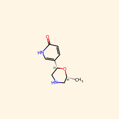 C[C@@H]1CNC[C@H](c2ccc(=O)[nH]c2)O1